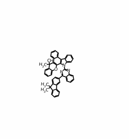 CC1(C)c2ccccc2-c2cc(-c3nc(-n4c5ccccc5c5c6ccccc6c6c(c54)Oc4ccccc4C6(C)C)nc4ccccc34)ccc21